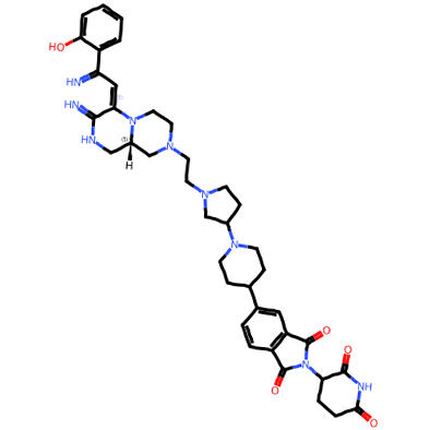 N=C1NC[C@H]2CN(CCN3CCC(N4CCC(c5ccc6c(c5)C(=O)N(C5CCC(=O)NC5=O)C6=O)CC4)C3)CCN2/C1=C/C(=N)c1ccccc1O